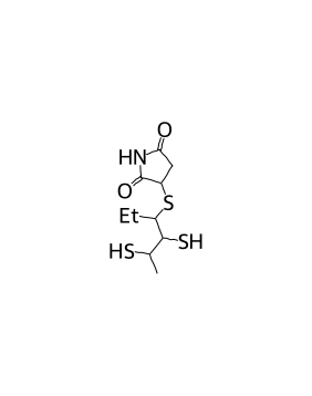 CCC(SC1CC(=O)NC1=O)C(S)C(C)S